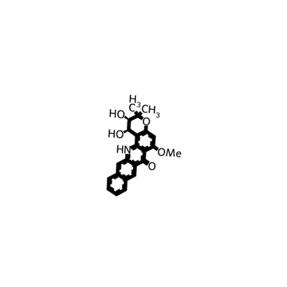 COc1cc2c(c3[nH]c4cc5ccccc5cc4c(=O)c13)[C@@H](O)[C@@H](O)C(C)(C)O2